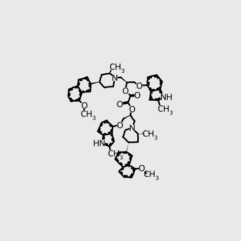 COc1cccc2ccc([C@@H]3CCN(C[C@@H](COc4cccc5[nH]c(C)cc45)OC(=O)C(=O)O[C@H](COc4cccc5[nH]c(C)cc45)CN4CC[C@@H](c5ccc6cccc(OC)c6c5)C[C@H]4C)[C@H](C)C3)cc12